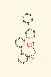 OCC1CO1.c1ccc(-c2ccccc2)cc1.c1ccc(-c2ccccc2)cc1